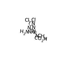 CN(C(=O)O)C1CN(c2nc3nc(Cl)c(Cl)cc3nc2NN)C1